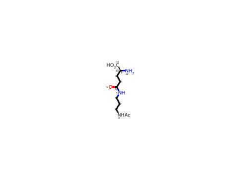 CC(=O)NCCCNC(=O)CC[C@H](N)C(=O)O